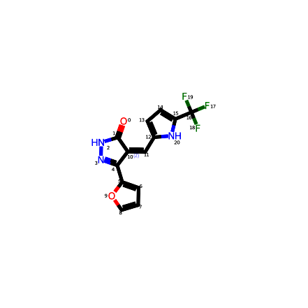 O=C1NN=C(c2ccco2)/C1=C/c1ccc(C(F)(F)F)[nH]1